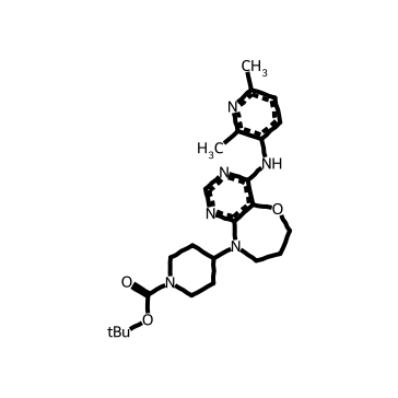 Cc1ccc(Nc2ncnc3c2OCCCN3C2CCN(C(=O)OC(C)(C)C)CC2)c(C)n1